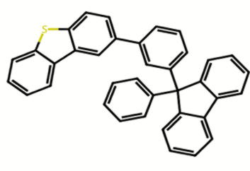 c1ccc(C2(c3cccc(-c4ccc5sc6ccccc6c5c4)c3)c3ccccc3-c3ccccc32)cc1